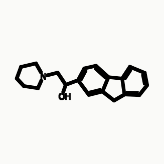 OC(CN1CCCCC1)c1ccc2c(c1)Cc1ccccc1-2